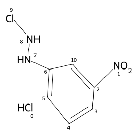 Cl.O=[N+]([O-])c1cccc(NNCl)c1